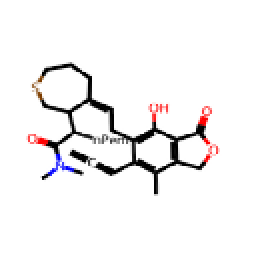 C=C=Cc1c(C)c2c(c(O)c1C/C=C1/CCCSCC1C(CCCCC)C(=O)N(C)C)C(=O)OC2